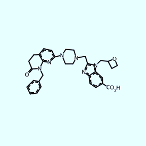 O=C(O)c1ccc2nc(CN3CCN(c4ccc5c(n4)N(Cc4ccccc4)C(=O)CC5)CC3)n(CC3CCO3)c2c1